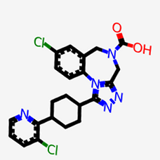 O=C(O)N1Cc2cc(Cl)ccc2-n2c(nnc2C2CCC(c3ncccc3Cl)CC2)C1